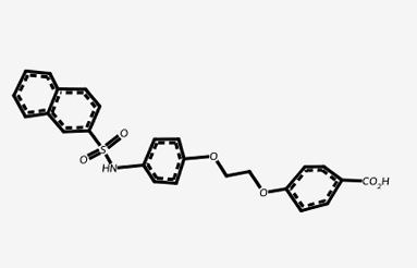 O=C(O)c1ccc(OCCOc2ccc(NS(=O)(=O)c3ccc4ccccc4c3)cc2)cc1